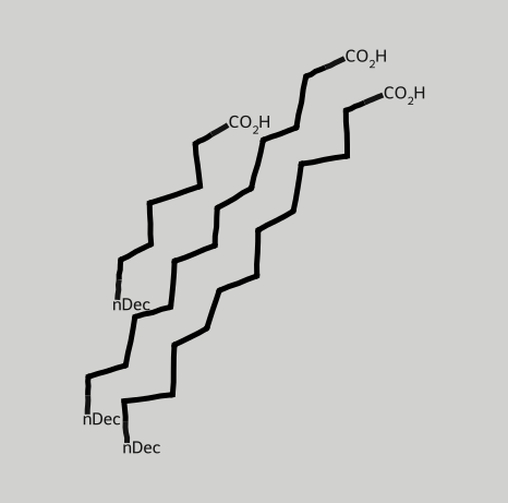 CCCCCCCCCCCCCCCC(=O)O.CCCCCCCCCCCCCCCCCCCCCC(=O)O.CCCCCCCCCCCCCCCCCCCCCC(=O)O